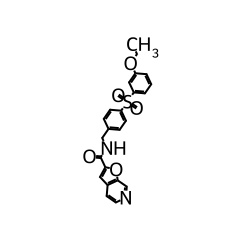 CCOc1cccc(S(=O)(=O)c2ccc(CNC(=O)c3cc4ccncc4o3)cc2)c1